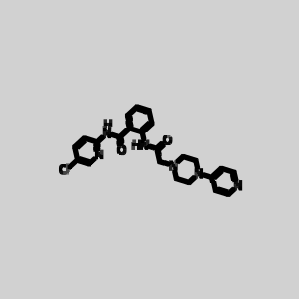 O=C(CN1CCN(c2ccncc2)CC1)Nc1ccccc1C(=O)Nc1ccc(Cl)cn1